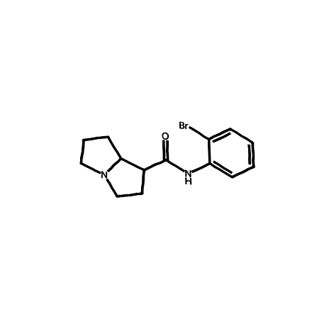 O=C(Nc1ccccc1Br)C1CCN2CCCC12